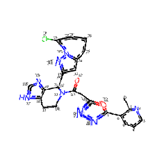 Cc1ncccc1-c1nnc(C(=O)N2CCc3[nH]cnc3[C@H]2c2cc3cccc(Cl)n3n2)o1